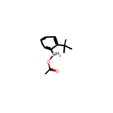 CC(=O)O[SiH2]c1ccccc1C(C)(C)C